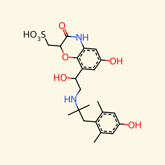 Cc1cc(O)cc(C)c1CC(C)(C)NCC(O)c1cc(O)cc2c1OC(CS(=O)(=O)O)C(=O)N2